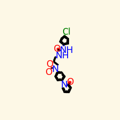 O=C(NCC1CN(c2ccc(-n3ccccc3=O)cc2)C(=O)O1)Nc1ccc(Cl)cc1